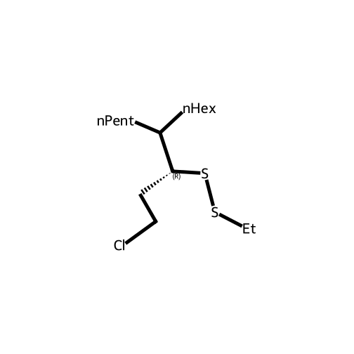 CCCCCCC(CCCCC)[C@@H](CCCl)SSCC